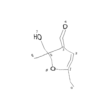 CC1=CC(=O)C(C)(O)O1